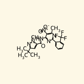 Cc1nc(-c2ccccc2C(F)(F)F)nc(NC(=O)c2cc(C(C)(C)C)nn2C)c1[N+](=O)[O-]